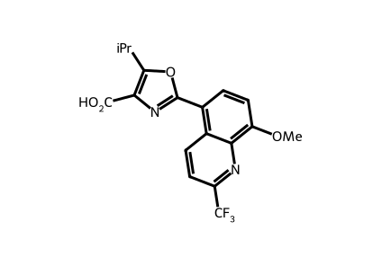 COc1ccc(-c2nc(C(=O)O)c(C(C)C)o2)c2ccc(C(F)(F)F)nc12